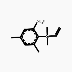 C=C[Si](C)(C)c1c(C)cc(C)cc1S(=O)(=O)O